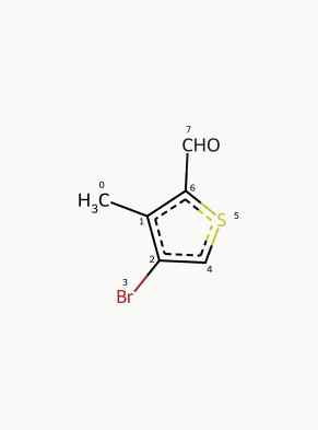 Cc1c(Br)csc1C=O